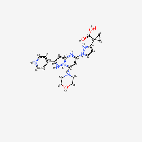 O=C(O)C1(c2ccn(-c3cc(N4CCOCC4)n4nc(-c5ccncc5)cc4n3)n2)CC1